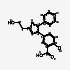 O=C(O)c1cc(-c2cn(CCO)nc2-c2ccncc2)ccc1Cl